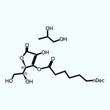 CC(O)CO.CCCCCCCCCCCCCCCC(=O)OC1=C(O)C(=O)O[C@@H]1[C@@H](O)CO